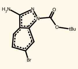 CC(C)(C)OC(=O)n1nc(N)c2ccc(Br)cc21